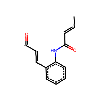 C/C=C/C(=O)Nc1ccccc1/C=C/[C]=O